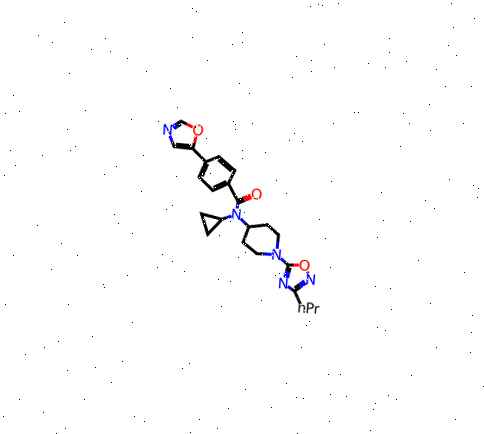 CCCc1noc(N2CCC(N(C(=O)c3ccc(-c4cnco4)cc3)C3CC3)CC2)n1